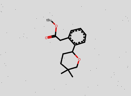 CC1(C)CCC(c2ccccc2CC(=O)OC(C)(C)C)OC1